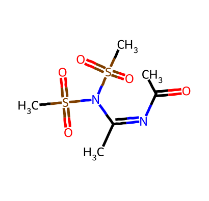 CC(=O)/N=C(/C)N(S(C)(=O)=O)S(C)(=O)=O